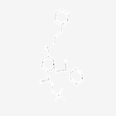 CC(C)(C)OOC(=O)c1ccc(NCCCc2ccccc2)cc1NC(=O)c1ccccc1